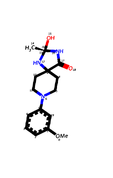 COc1cccc(N2CCC3(CC2)N[C@](C)(O)NC3=O)c1